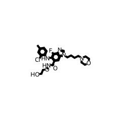 Cc1ccc(Nc2c(C(=O)NOCCO)cc3c(ncn3CCCCN3CCOCC3)c2F)c(Cl)c1